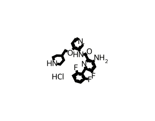 Cl.Nc1cc(F)c(-c2c(F)cccc2F)nc1C(=O)Nc1cnccc1OCC1CCNCC1